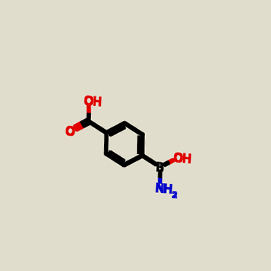 NB(O)c1ccc(C(=O)O)cc1